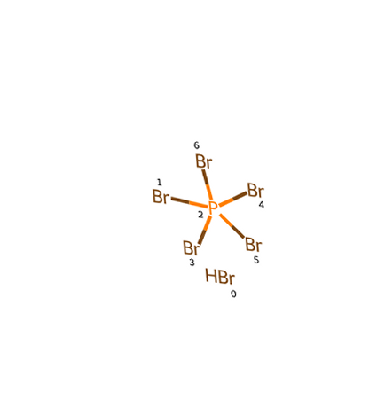 Br.BrP(Br)(Br)(Br)Br